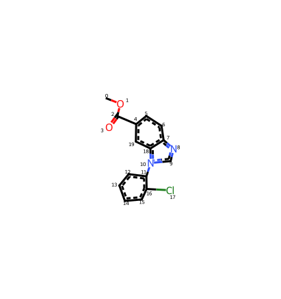 COC(=O)c1ccc2ncn(-c3ccccc3Cl)c2c1